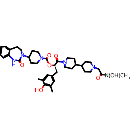 Cc1cc(C[C@@H](OC(=O)N2CCC(N3CCc4ccccc4NC3=O)CC2)C(=O)N2CCC(C3CCN(CC(=O)N(C)O)CC3)CC2)cc(C)c1O